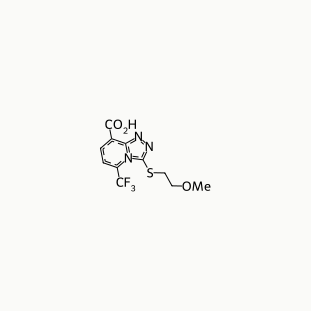 COCCSc1nnc2c(C(=O)O)ccc(C(F)(F)F)n12